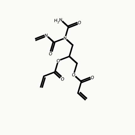 C=CC(=O)OCC(CN(C(N)=O)C(=O)N=C)OC(=O)C=C